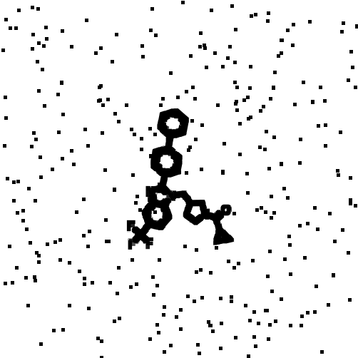 O=C(C1CC1)N1CCC(Cn2c(-c3ccc(-c4ccccc4)cc3)nc3cc(C(F)(F)F)ccc32)C1